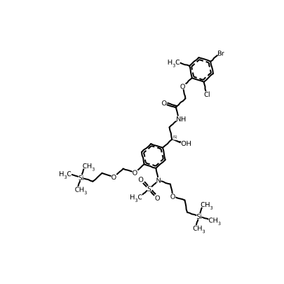 Cc1cc(Br)cc(Cl)c1OCC(=O)NC[C@@H](O)c1ccc(OCOCC[Si](C)(C)C)c(N(COCC[Si](C)(C)C)S(C)(=O)=O)c1